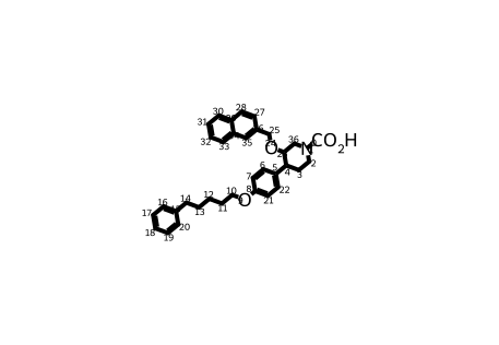 O=C(O)N1CCC(c2ccc(OCCCCCc3ccccc3)cc2)C(OCc2ccc3ccccc3c2)C1